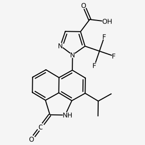 CC(C)c1cc(-n2ncc(C(=O)O)c2C(F)(F)F)c2cccc3c(=C=O)[nH]c1c23